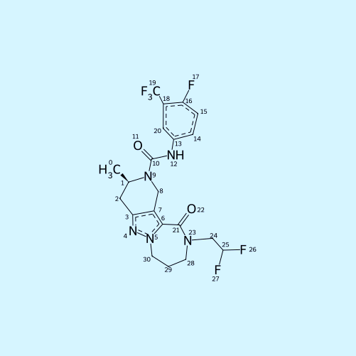 C[C@@H]1Cc2nn3c(c2CN1C(=O)Nc1ccc(F)c(C(F)(F)F)c1)C(=O)N(CC(F)F)CCC3